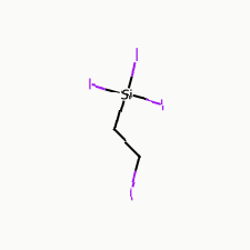 ICC[Si](I)(I)I